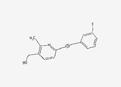 Cc1nc(C#Cc2cccc(F)c2)ccc1CO